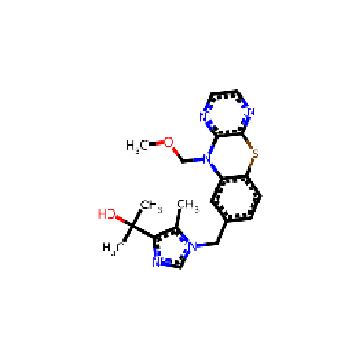 COCN1c2cc(Cn3cnc(C(C)(C)O)c3C)ccc2Sc2nccnc21